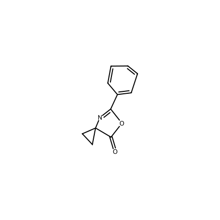 O=C1OC(c2ccccc2)=NC12CC2